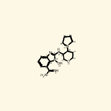 N=C(N)c1cccc2nc(NC3COCCC3N3CCCC3)n(O)c12